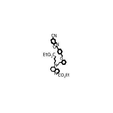 CCOC(=O)CCCCN(CCc1ccccc1OCc1ccc(-c2nc3cc(C#N)ccc3o2)cc1)C1CCCc2nc(C(=O)OCC)ccc21